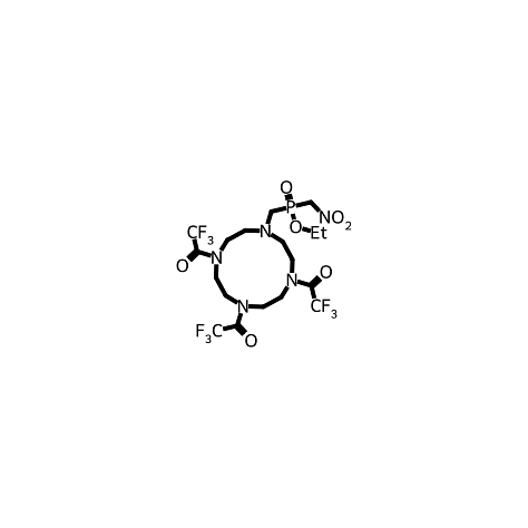 CCOP(=O)(CN1CCN(C(=O)C(F)(F)F)CCN(C(=O)C(F)(F)F)CCN(C(=O)C(F)(F)F)CC1)C[N+](=O)[O-]